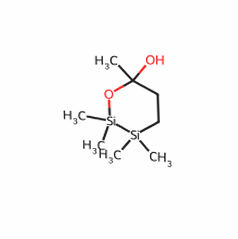 CC1(O)CC[Si](C)(C)[Si](C)(C)O1